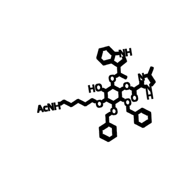 CC(=O)NCCCCCOC1C(O)C(OC(C)c2c[nH]c3ccccc23)C(OC(=O)c2nc(C)c[nH]2)C(OCc2ccccc2)C1OCc1ccccc1